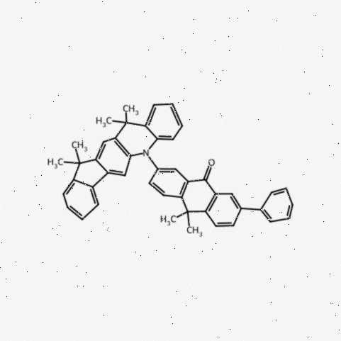 CC1(C)c2ccc(-c3ccccc3)cc2C(=O)c2cc(N3c4ccccc4C(C)(C)c4cc5c(cc43)-c3ccccc3C5(C)C)ccc21